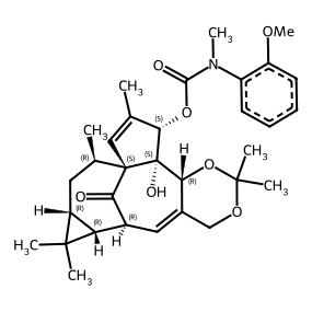 COc1ccccc1N(C)C(=O)O[C@H]1C(C)=C[C@]23C(=O)[C@@H](C=C4COC(C)(C)O[C@H]4[C@]12O)[C@H]1[C@@H](C[C@H]3C)C1(C)C